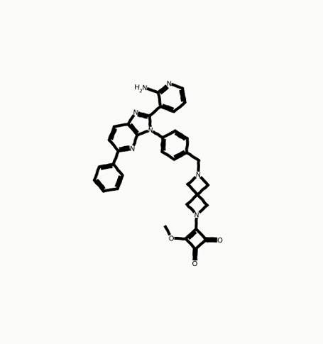 COc1c(N2CC3(CN(Cc4ccc(-n5c(-c6cccnc6N)nc6ccc(-c7ccccc7)nc65)cc4)C3)C2)c(=O)c1=O